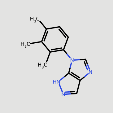 Cc1ccc(-n2cnc3cn[nH]c32)c(C)c1C